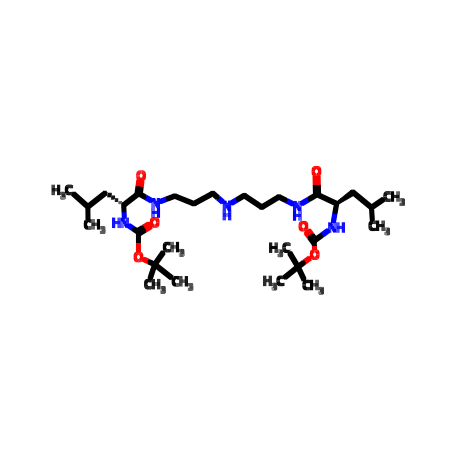 CC(C)C[C@@H](NC(=O)OC(C)(C)C)C(=O)NCCCNCCCNC(=O)[C@@H](CC(C)C)NC(=O)OC(C)(C)C